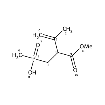 C=C(C)C(CP(C)(=O)O)C(=O)OC